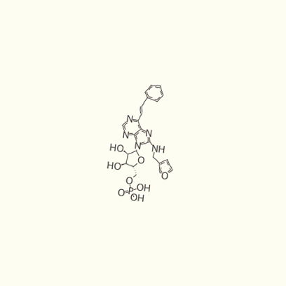 O=P(O)(O)OC[C@H]1O[C@@H](n2c(NCc3ccoc3)nc3c(/C=C/c4ccccc4)ncnc32)[C@H](O)[C@@H]1O